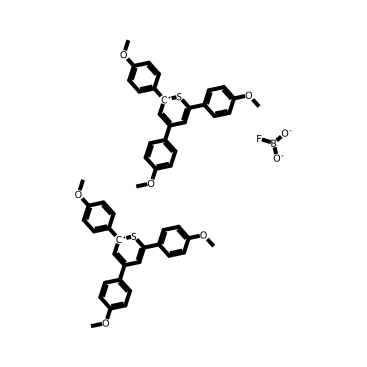 COc1ccc(-c2cc(-c3ccc(OC)cc3)s[c+](-c3ccc(OC)cc3)c2)cc1.COc1ccc(-c2cc(-c3ccc(OC)cc3)s[c+](-c3ccc(OC)cc3)c2)cc1.[O-]B([O-])F